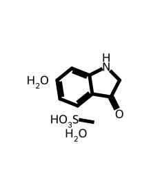 CS(=O)(=O)O.O.O.O=C1CNc2ccccc21